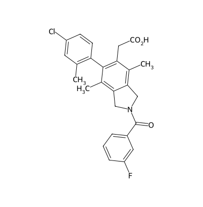 Cc1cc(Cl)ccc1-c1c(C)c2c(c(C)c1CC(=O)O)CN(C(=O)c1cccc(F)c1)C2